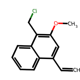 C=Cc1cc(OC)c(CCl)c2ccccc12